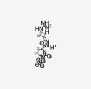 N=C(N)NC1CC(c2nnc(C3CCC4CN3C(=O)N4OS(=O)(=O)[O-])o2)C1.[H+]